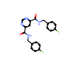 O=C(NCc1ccc(F)cc1)c1cc(C(=O)NCc2ccc(F)cc2)ncn1